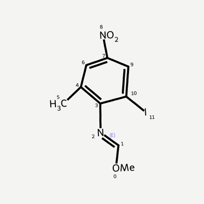 CO/C=N/c1c(C)cc([N+](=O)[O-])cc1I